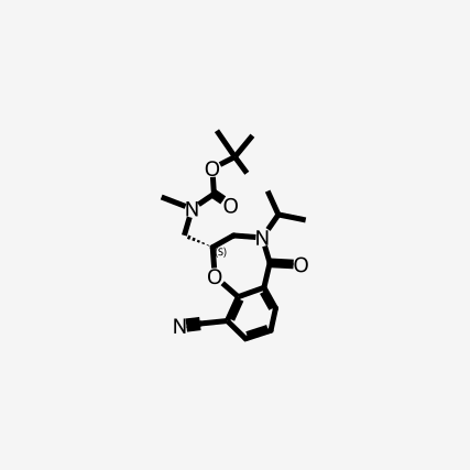 CC(C)N1C[C@@H](CN(C)C(=O)OC(C)(C)C)Oc2c(C#N)cccc2C1=O